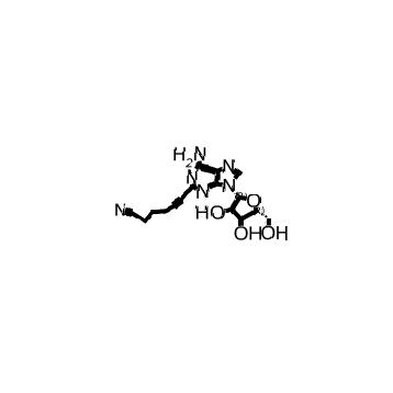 N#CCCCC#Cc1nc(N)c2ncn([C@@H]3O[C@H](CO)C(O)C3O)c2n1